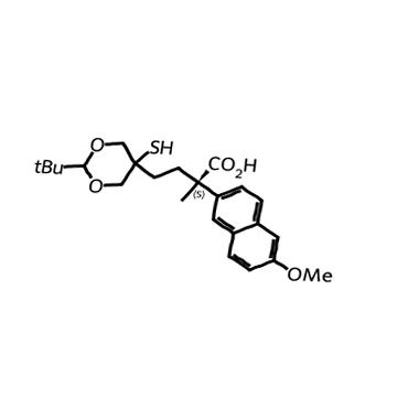 COc1ccc2cc([C@](C)(CCC3(S)COC(C(C)(C)C)OC3)C(=O)O)ccc2c1